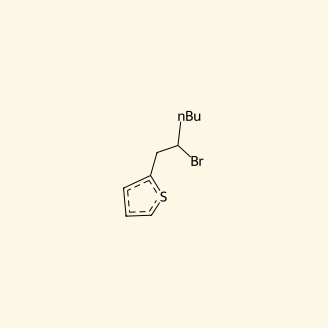 CCCCC(Br)Cc1cccs1